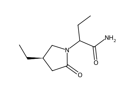 CCC(C(N)=O)N1C[C@H](CC)CC1=O